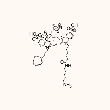 CC1(CCCC23S[SH]2(=O)S3)C(/C=C/C=C2/N(CCCCCC(=O)NCCCCCN)c3ccc(S(=O)(=O)O)cc3C2(C)CCCCS(=O)(=O)O)=[N+](CCCC2=C/C=C\C=C/C=C\2)c2ccc(S(=O)(=O)O)cc21